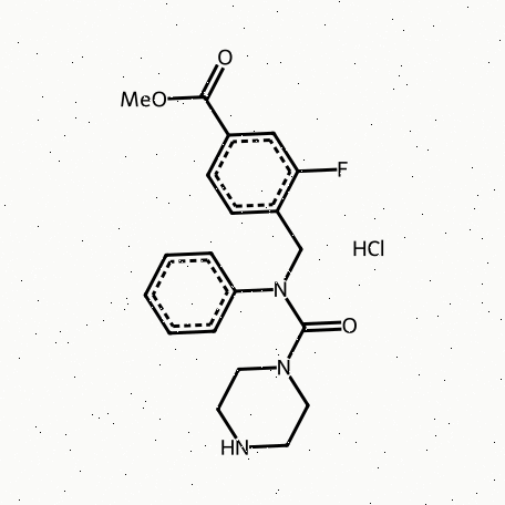 COC(=O)c1ccc(CN(C(=O)N2CCNCC2)c2ccccc2)c(F)c1.Cl